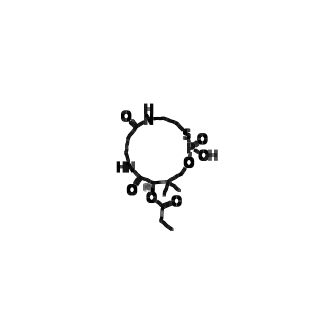 CCC(=O)O[C@H]1C(=O)NCCC(=O)NCCSP(=O)(O)OCC1(C)C